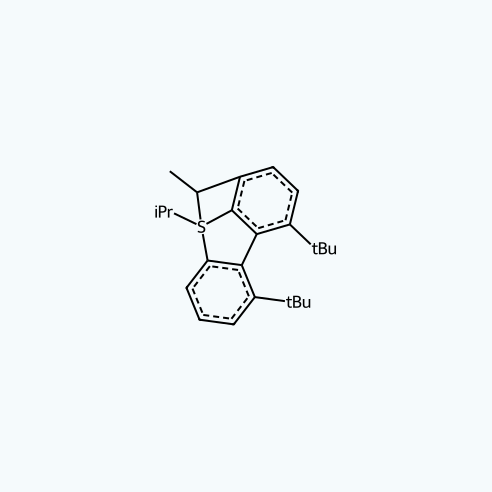 CC(C)S12c3cccc(C(C)(C)C)c3-c3c(C(C)(C)C)ccc(c31)C2C